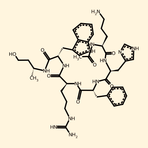 CC(=O)N[C@@H](CCCN)C(=O)N[C@@H](Cc1c[nH]cn1)C(=O)N[C@H](Cc1ccccc1)C(=O)N[C@@H](CCCNC(=N)N)C(=O)N[C@@H](Cc1c[nH]c2ccccc12)C(=O)N[C@H](C)CCO